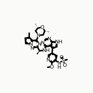 COc1ncc(-c2c[nH]c3ncnc(N[C@@H](C)c4nc(N5C[C@@H](C)O[C@@H](C)C5)c5c(C)ccn5n4)c23)cc1NS(C)(=O)=O